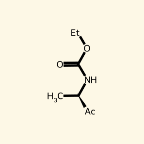 CCOC(=O)N[C@H](C)C(C)=O